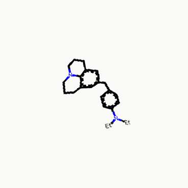 CCN(CC)c1ccc(Cc2cc3c4c(c2)CCCN4CCC3)cc1